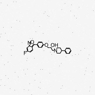 O[C@@H](COc1ccc(-c2onc3cc(F)ccc23)cc1)CN1CCC(c2ccccc2)CC1